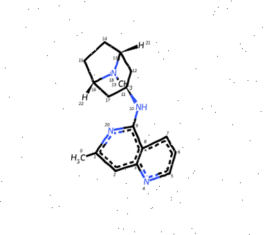 Cc1cc2ncccc2c(N[C@@H]2C[C@H]3CC[C@@H](C2)N3C)n1